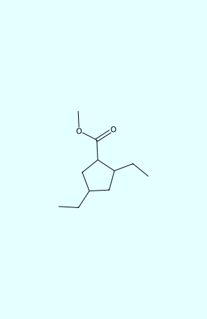 CCC1CC(CC)C(C(=O)OC)C1